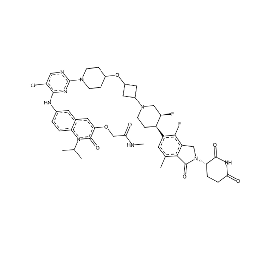 CNC(=O)COc1cc2cc(Nc3nc(N4CCC(OC5CC(N6CC[C@H](c7cc(C)c8c(c7F)CN([C@H]7CCC(=O)NC7=O)C8=O)[C@H](F)C6)C5)CC4)ncc3Cl)ccc2n(C(C)C)c1=O